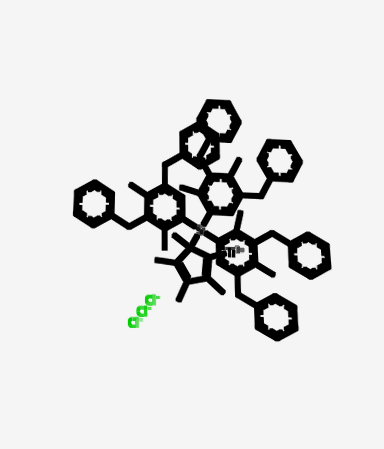 CC1=C(C)C(C)([Si](c2cc(Cc3ccccc3)c(C)c(Cc3ccccc3)c2C)(c2cc(Cc3ccccc3)c(C)c(Cc3ccccc3)c2C)c2cc(Cc3ccccc3)c(C)c(Cc3ccccc3)c2C)[C]([Ti+3])=C1C.[Cl-].[Cl-].[Cl-]